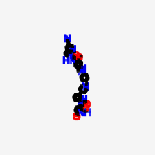 COc1cc2nn([C@H]3CC[C@H](CN4CCC(c5cccc6c5n(C)c(=O)n6C5CCC(=O)NC5=O)CC4)CC3)cc2cc1NC(=O)n1ccc2cc(C#N)cnc21